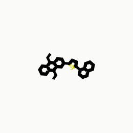 CCc1c2ccccc2c(CC)c2cc(-c3ccc(-c4cccc5ccccc45)s3)ccc12